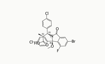 CO[C@]1(c2ccc(Cl)cc2)c2c(F)cc(Br)cc2C(=O)N1[C@H](c1ccc(Cl)cc1)[C@H](C)C(=O)O